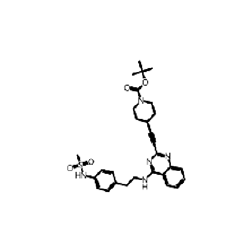 CC(C)(C)OC(=O)N1CCC(C#Cc2nc(NCCc3ccc(NS(C)(=O)=O)cc3)c3ccccc3n2)CC1